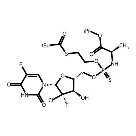 CC(C)OC(=O)[C@@H](C)NP(=S)(OCCSC(=O)C(C)(C)C)OC[C@H]1O[C@@H](n2cc(F)c(=O)[nH]c2=O)[C@](F)(Cl)[C@@H]1O